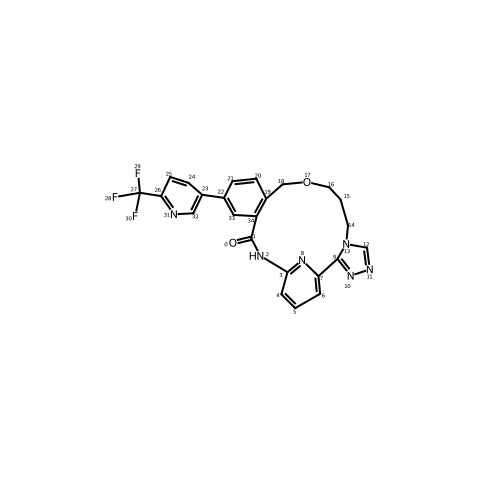 O=C1Nc2cccc(n2)-c2nncn2CCCOCc2ccc(-c3ccc(C(F)(F)F)nc3)cc21